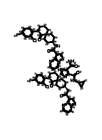 NC(=O)c1[nH]cnc1C(=O)NC1CC1.O=C(N[C@H]1CC[C@@]2(CCCN(c3ccc(F)cc3Cl)C2=O)CC1)c1cnc2cccnn12.O=C(N[C@H]1CC[C@@]2(CCCN(c3ccc(F)cc3Cl)C2=O)CC1)c1cnn2cccnc12